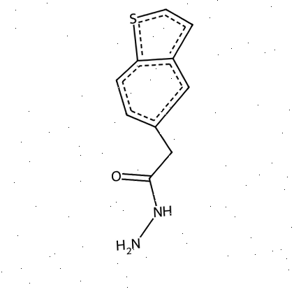 NNC(=O)Cc1ccc2sccc2c1